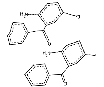 Nc1ccc(Cl)cc1C(=O)c1ccccc1.Nc1ccc(I)cc1C(=O)c1ccccc1